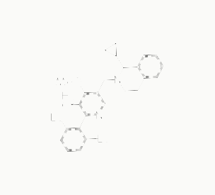 CCc1cccc(CC)c1-c1ncc(CN2CCc3ccccc3C2C2CC2)c(OC)c1C